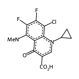 CNc1c(F)c(F)c(Cl)c2c1c(=O)c(C(=O)O)cn2C1CC1